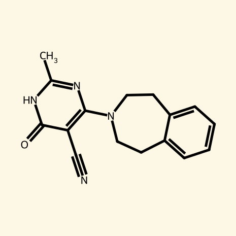 Cc1nc(N2CCc3ccccc3CC2)c(C#N)c(=O)[nH]1